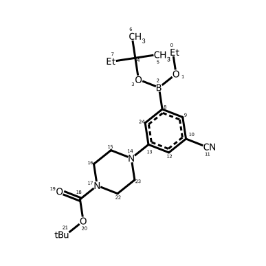 CCOB(OC(C)(C)CC)c1cc(C#N)cc(N2CCN(C(=O)OC(C)(C)C)CC2)c1